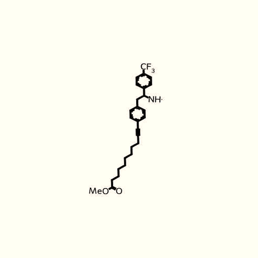 COC(=O)CCCCCCCCC#Cc1ccc(CC([NH])c2ccc(C(F)(F)F)cc2)cc1